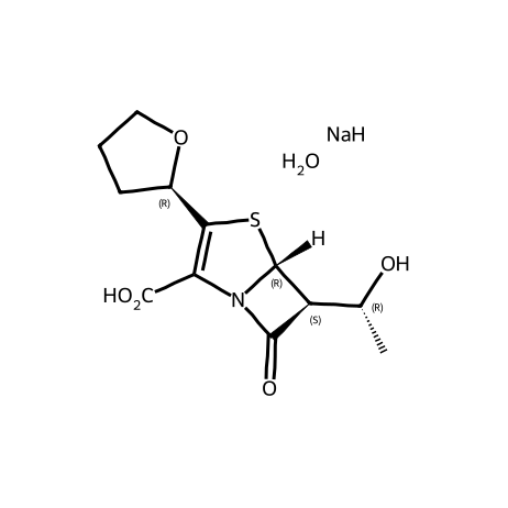 C[C@@H](O)[C@H]1C(=O)N2C(C(=O)O)=C([C@H]3CCCO3)S[C@H]12.O.[NaH]